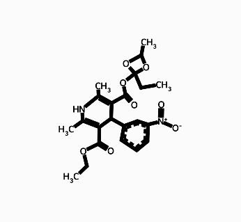 CCOC(=O)C1=C(C)NC(C)=C(C(=O)OC2(CC)OC(C)O2)C1c1cccc([N+](=O)[O-])c1